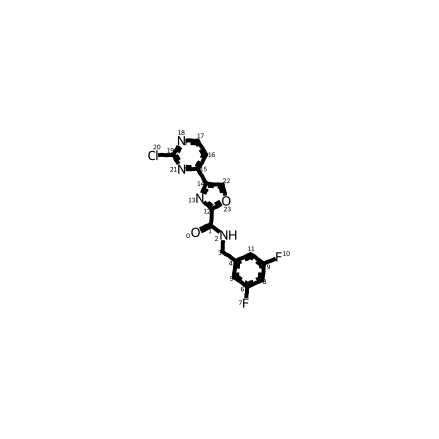 O=C(NCc1cc(F)cc(F)c1)c1nc(-c2ccnc(Cl)n2)co1